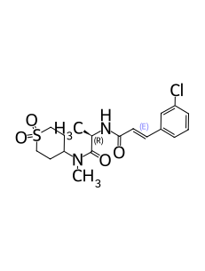 C[C@@H](NC(=O)/C=C/c1cccc(Cl)c1)C(=O)N(C)C1CCS(=O)(=O)CC1